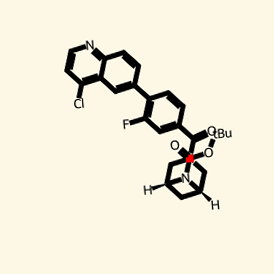 CC(C)(C)OC(=O)N1[C@@H]2C[C@H]1CN(C(=O)c1ccc(-c3ccc4nccc(Cl)c4c3)c(F)c1)C2